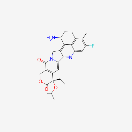 CC[C@@]1(OC(C)C)C(=O)OCc2c1cc1n(c2=O)Cc2c-1nc1cc(F)c(C)c3c1c2[C@@H](N)CC3